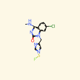 CNc1nc(=O)n(Cc2cn(SF)cn2)c2cc(Cl)ccc12